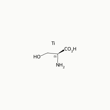 N[C@@H](CO)C(=O)O.[Ti]